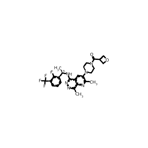 Cc1nc2c(C)nnc(N[C@H](C)c3cccc(C(F)(F)F)c3F)c2cc1N1CCN(C(=O)C2COC2)CC1